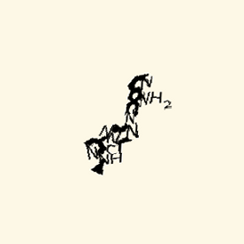 N[C@@H]1c2ncccc2CC12CCN(c1nccn3c(-c4ccnc(NC5CC5)c4Cl)ncc13)CC2